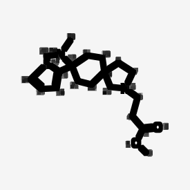 COC(=O)CCN1CCC2(CCC(c3cccs3)(N(C)C)CC2)C1